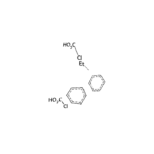 CCC.O=C(O)Cl.O=C(O)Cl.c1ccccc1.c1ccccc1